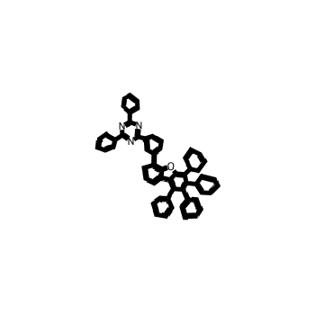 C1=CCC(c2c(-c3ccccc3)c(-c3ccccc3)c(-c3ccccc3)c3c2oc2c(-c4cccc(-c5nc(-c6ccccc6)nc(-c6ccccc6)n5)c4)cccc23)C=C1